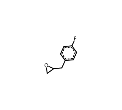 Fc1ccc(CC2CO2)cc1